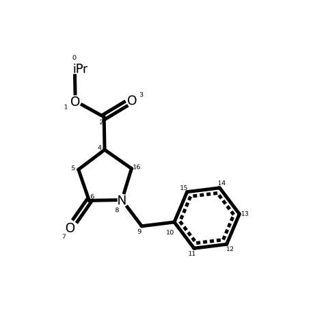 CC(C)OC(=O)C1CC(=O)N(Cc2ccccc2)C1